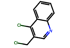 ClCc1cnc2ccccc2c1Cl